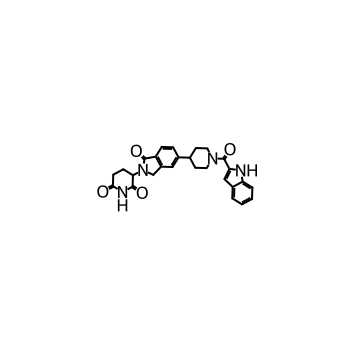 O=C1CCC(N2Cc3cc(C4CCN(C(=O)c5cc6ccccc6[nH]5)CC4)ccc3C2=O)C(=O)N1